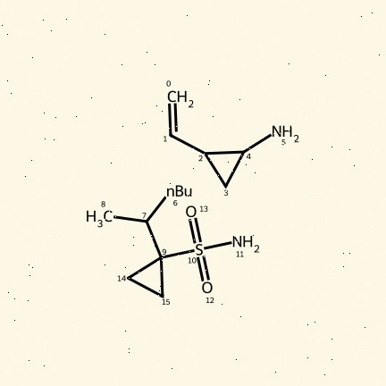 C=CC1CC1N.CCCCC(C)C1(S(N)(=O)=O)CC1